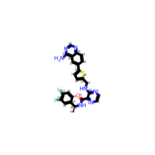 C[C@H](NC(=O)c1nccnc1NCc1ccc(-c2ccc3ncnc(N)c3c2)s1)c1ccc(F)c(F)c1